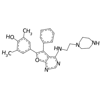 Cc1cc(-c2oc3ncnc(NCCN4CCNCC4)c3c2-c2ccccc2)cc(C)c1O